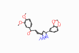 COc1ccc(C(=O)C=Cc2cc(-c3ccc4c(c3)OCO4)n[nH]2)cc1OC